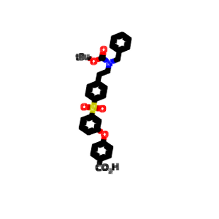 CC(C)(C)OC(=O)N(CCc1ccc(S(=O)(=O)c2cccc(Oc3ccc(C(=O)O)cc3)c2)cc1)Cc1ccccc1